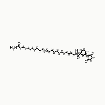 NC(=O)CCCCCCCCCCSSCCCCCCCCCCCNC(=O)c1cccc(N2C(=O)C=CC2=O)c1